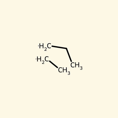 [CH2]C.[CH2]CC